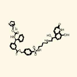 O=C(NC(c1ccccc1)c1cccc(C(=O)OCc2ccc(S(=O)(=O)NCCCCNC[C@H](O)c3ccc(O)c4[nH]c(=O)ccc34)cc2)c1)O[C@H]1CN2CCC1CC2